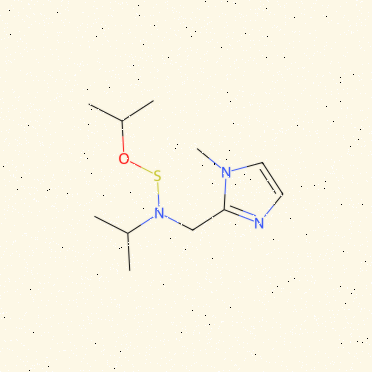 CC(C)OSN(Cc1nccn1C)C(C)C